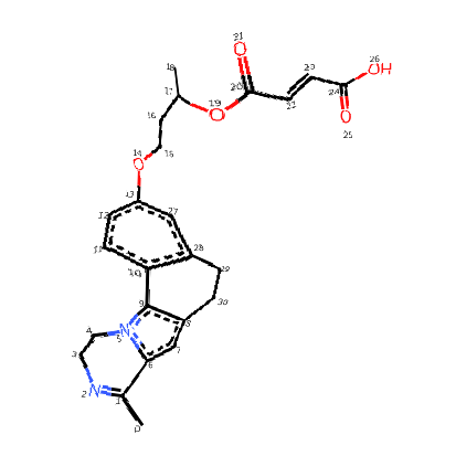 CC1=NCCn2c1cc1c2-c2ccc(OCCC(C)OC(=O)/C=C/C(=O)O)cc2CC1